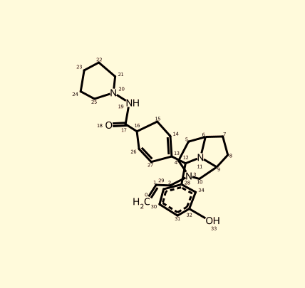 C=CCN1CCC2CCC(C1)N2C(C1=CCC(C(=O)NN2CCCCC2)C=C1)c1cccc(O)c1